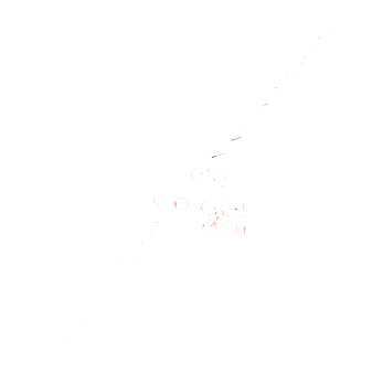 CCCCCCCCCCCCCC=CC=CC(=O)O[C@H](COC(=O)CCCCCCCCCCCCCCCCC)COP(=O)(O)O